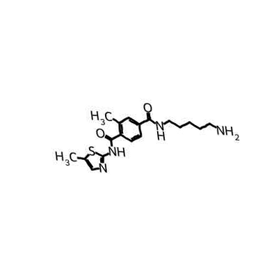 Cc1cnc(NC(=O)c2ccc(C(=O)NCCCCCN)cc2C)s1